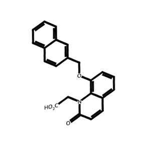 O=C(O)Cn1c(=O)ccc2cccc(OCc3ccc4ccccc4c3)c21